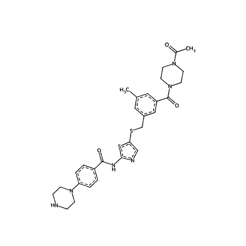 CC(=O)N1CCN(C(=O)c2cc(C)cc(CSc3cnc(NC(=O)c4ccc(N5CCNCC5)cc4)s3)c2)CC1